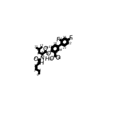 CC/C=C\CC(=O)NC(CC(C)C)C(=O)Oc1ccc(-c2ccc(F)cc2F)cc1C(=O)O